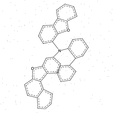 c1ccc(-c2ccccc2N(c2ccc3c(c2)oc2ccc4ccccc4c23)c2cccc3c2oc2ccccc23)cc1